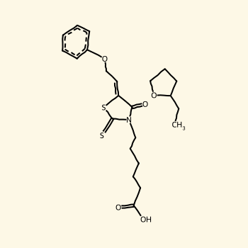 CCC1CCCO1.O=C(O)CCCCCN1C(=O)C(=CCOc2ccccc2)SC1=S